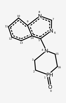 O=[PH]1CCN(c2ncnc3ccccc23)CC1